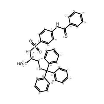 O=C(Nc1ccc(S(=O)(=O)N[C@@H](CSC(c2ccccc2)(c2ccccc2)c2ccccc2)C(=O)O)cc1)c1ccccc1